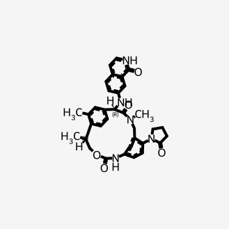 Cc1cc2ccc1[C@@H](C)COC(=O)Nc1ccc(N3CCCC3=O)c(c1)CN(C)C(=O)[C@@H]2Nc1ccc2cc[nH]c(=O)c2c1